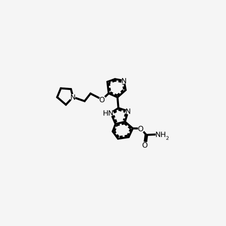 NC(=O)Oc1cccc2[nH]c(-c3cnccc3OCCN3CCCC3)nc12